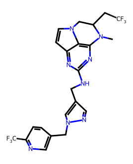 CN1c2nc(NCc3cnn(Cc4ccc(C(F)(F)F)nc4)c3)nc3ccn(c23)CC1CC(F)(F)F